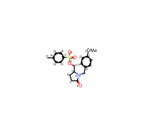 COc1ccc(CN2C(=O)CCC2COS(=O)(=O)c2ccc(C)cc2)cc1